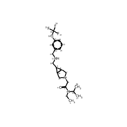 CCN(C(=O)CN1CC2C(CNCc3cccc(OC(F)(F)F)c3)C2C1)C(C)C